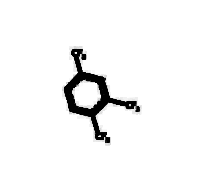 FC(F)(F)c1[c]c(C(F)(F)F)c(C(F)(F)F)cc1